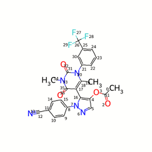 CC(=O)Oc1cnn(-c2ccc(C#N)cc2)c1-c1c(C)n(-c2cccc(C(F)(F)F)c2)c(=O)n(C)c1=O